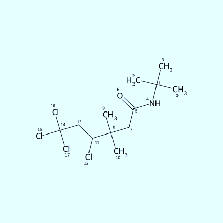 CC(C)(C)NC(=O)CC(C)(C)C(Cl)CC(Cl)(Cl)Cl